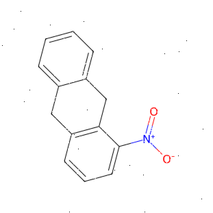 O=[N+]([O-])c1cccc2c1Cc1ccccc1C2